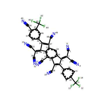 N#CC(C#N)=C1C(c2ccc(C(F)(F)F)cc2)=C(C#N)c2c1cc1c(c2C#N)C(=C(C#N)C#N)C(c2ccc(C#N)c(C(F)(F)F)c2)=C1C#N